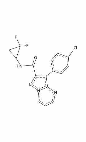 O=C(NC1CC1(F)F)c1nn2cccnc2c1-c1ccc(Cl)cc1